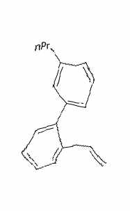 C=Cc1ccccc1-c1cccc(CCC)c1